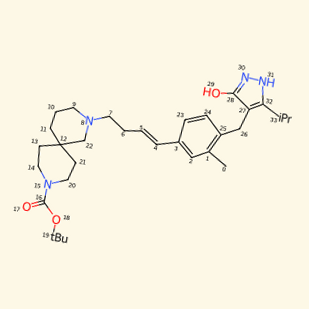 Cc1cc(C=CCCN2CCCC3(CCN(C(=O)OC(C)(C)C)CC3)C2)ccc1Cc1c(O)n[nH]c1C(C)C